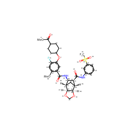 COC(=O)C1CCC(Oc2cc(C(=O)N[C@@H]3[C@@H]4C[C@@H]([C@H]5OCO[C@@H]45)[C@@H]3C(=O)Nc3cccc(S(=O)(=O)C(F)(F)F)c3)c(OC)cc2F)CC1